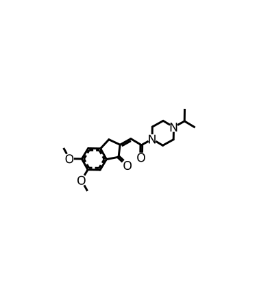 COc1cc2c(cc1OC)C(=O)C(=CC(=O)N1CCN(C(C)C)CC1)C2